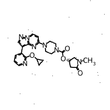 CN1C[C@@H](OC(=O)N2CCN(c3ccn4ncc(-c5cccnc5OC5CC5)c4n3)CC2)CC1=O